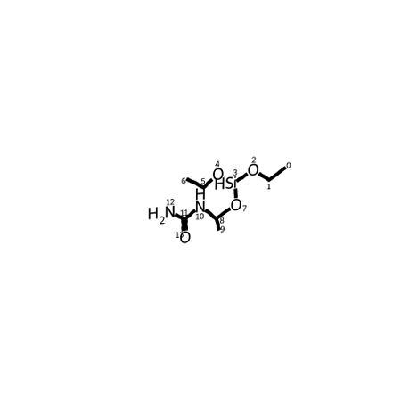 CCO[SiH](OCC)OC(C)NC(N)=O